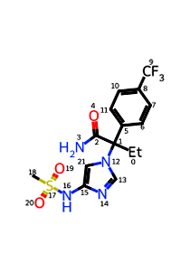 CCC(C(N)=O)(c1ccc(C(F)(F)F)cc1)n1cnc(NS(C)(=O)=O)c1